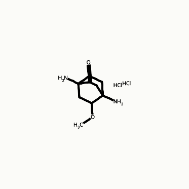 COC1CC2(N)CCC1(N)CC2=O.Cl.Cl